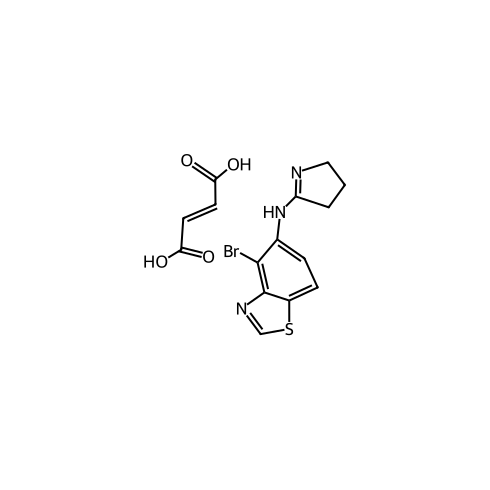 Brc1c(NC2=NCCC2)ccc2scnc12.O=C(O)/C=C/C(=O)O